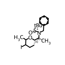 CC1O[C@H]([C@@H](C)N(Cc2ccccc2)[S@+]([O-])C(C)(C)C)CCC1I